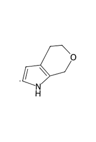 [c]1cc2c([nH]1)COCC2